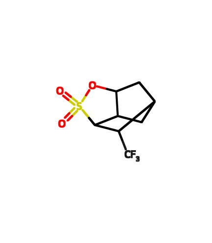 O=S1(=O)OC2CC3CC2C1C3C(F)(F)F